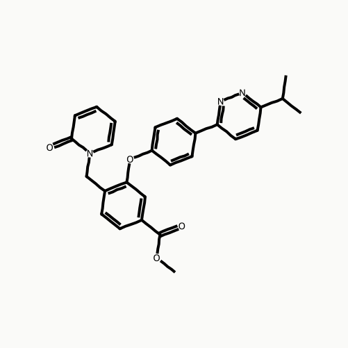 COC(=O)c1ccc(Cn2ccccc2=O)c(Oc2ccc(-c3ccc(C(C)C)nn3)cc2)c1